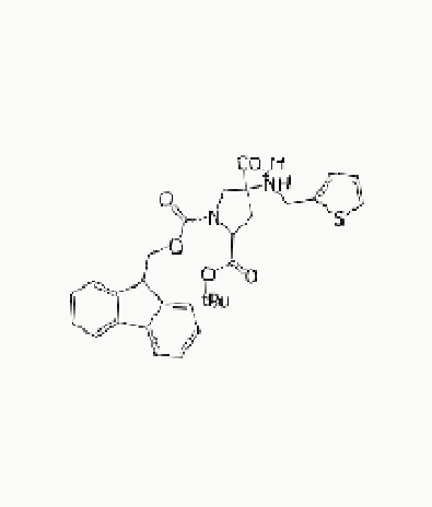 CC(C)(C)OC(=O)C1CC(NCc2cccs2)(C(=O)O)CN1C(=O)OCC1c2ccccc2-c2ccccc21